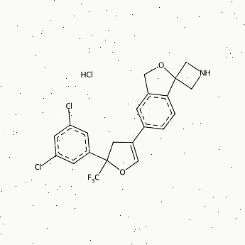 Cl.FC(F)(F)C1(c2cc(Cl)cc(Cl)c2)CC(c2ccc3c(c2)COC32CNC2)=CO1